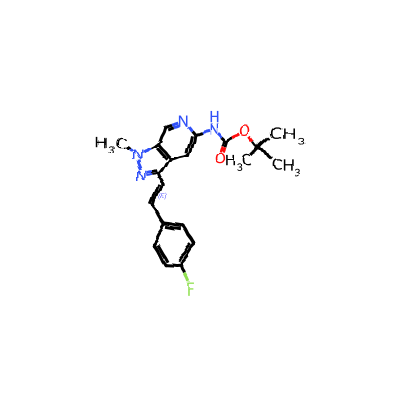 Cn1nc(/C=C/c2ccc(F)cc2)c2cc(NC(=O)OC(C)(C)C)ncc21